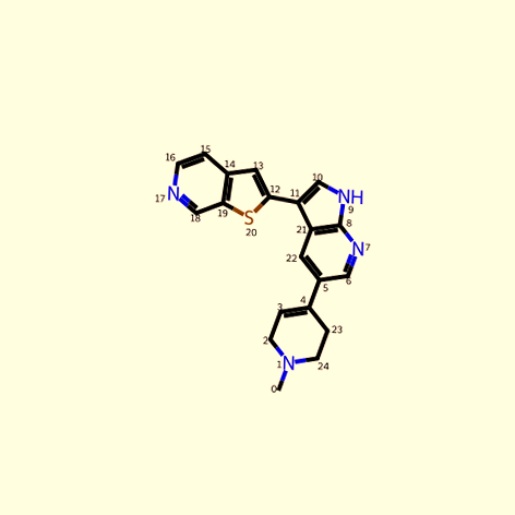 CN1CC=C(c2cnc3[nH]cc(-c4cc5ccncc5s4)c3c2)CC1